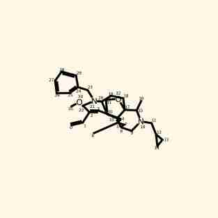 C=C/C(=C\C1=C(C)CC2CN(CC3CC3)C(C)C34CCC(N(C)Cc5ccccc5)C(CO3)C124)OC